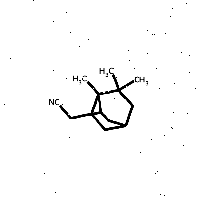 CC1(C)CC2CCC1(C)C(CC#N)C2